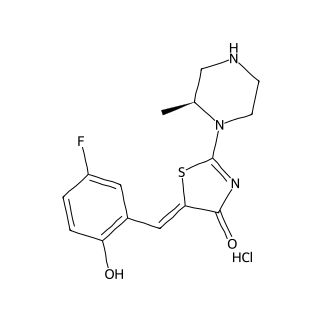 C[C@H]1CNCCN1C1=NC(=O)/C(=C/c2cc(F)ccc2O)S1.Cl